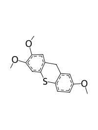 COc1ccc2c(c1)Cc1cc(OC)c(OC)cc1S2